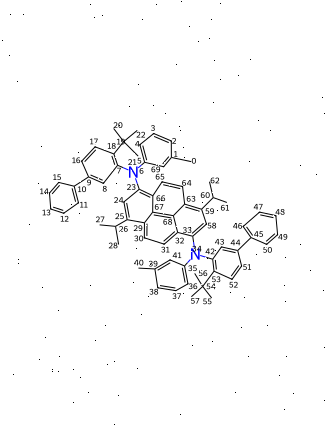 Cc1cccc(N(c2cc(-c3ccccc3)ccc2C(C)(C)C)c2cc(C(C)C)c3ccc4c(N(c5cccc(C)c5)c5cc(-c6ccccc6)ccc5C(C)(C)C)cc(C(C)C)c5ccc2c3c54)c1